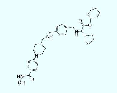 O=C(NO)c1ccc(N2CCC(CNCc3ccc(CNC(C(=O)OC4CCCCC4)C4CCCC4)cc3)CC2)cc1